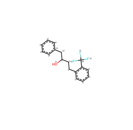 OC(CCc1ccccc1C(F)(F)F)Cc1ccccc1